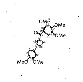 COc1ccc(-c2nc(C(=O)c3cc(OC)c(OC)c(OC)c3)co2)cc1OC